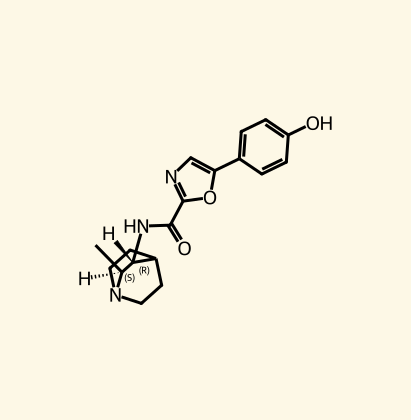 C[C@H]1[C@H](NC(=O)c2ncc(-c3ccc(O)cc3)o2)C2CCN1CC2